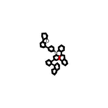 c1cc(-c2ccccc2-c2cccc3ccccc23)cc(N(c2ccc(-c3cccc4c3oc3ccccc34)cc2)c2ccccc2-c2ccc3ccccc3c2)c1